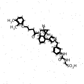 Cc1cccc(OCCCC(=O)N2C[C@@H]3C[C@@H]3c3c(-c4cnn(Cc5cccc(NC(=O)NCS(=O)(=O)O)c5)c4)cccc32)c1C